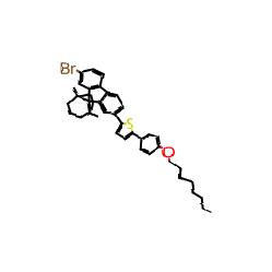 CCCCCCCCOc1ccc(-c2ccc(-c3ccc4c(c3)C3(c5cc(Br)ccc5-4)C4(C)CCCC3(C)CCC4)s2)cc1